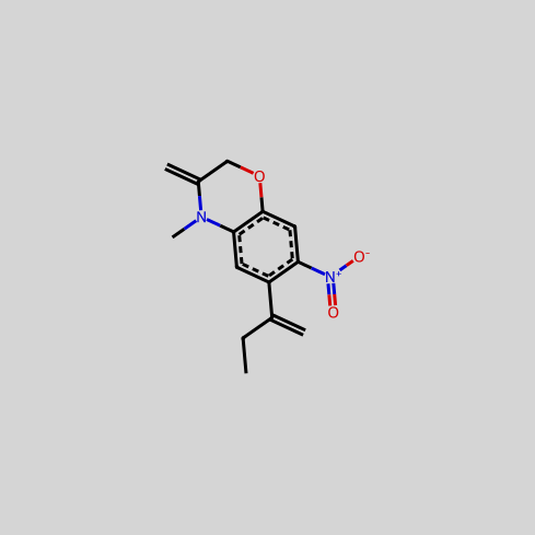 C=C(CC)c1cc2c(cc1[N+](=O)[O-])OCC(=C)N2C